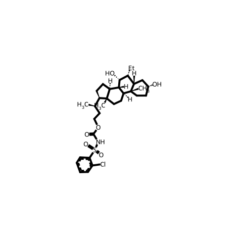 CC[C@H]1[C@@H](O)[C@@H]2[C@H](CC[C@]3(C)[C@@H]([C@H](C)CCOC(=O)NS(=O)(=O)c4ccccc4Cl)CC[C@@H]23)[C@@]2(C)CC[C@@H](O)C[C@@H]12